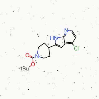 CC(C)(C)OC(=O)N1CCC(c2cc3c(Cl)ccnc3[nH]2)CC1